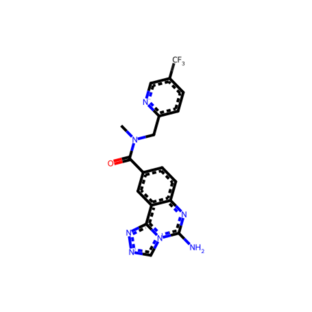 CN(Cc1ccc(C(F)(F)F)cn1)C(=O)c1ccc2nc(N)n3cnnc3c2c1